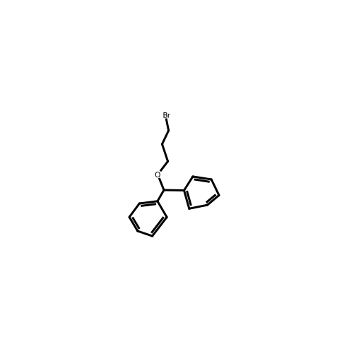 BrCCCOC(c1ccccc1)c1ccccc1